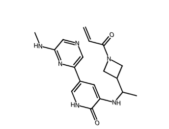 C=CC(=O)N1CC(C(C)Nc2cc(-c3cncc(NC)n3)c[nH]c2=O)C1